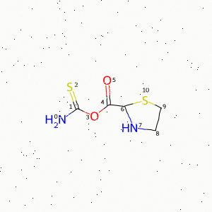 NC(=S)OC(=O)C1NCCS1